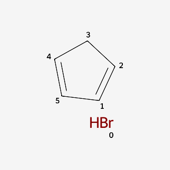 Br.C1=CCC=C1